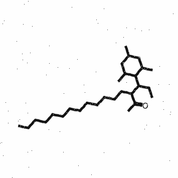 CCCCCCCCCCCCCC(C(C)=O)C(CC)C1C(C)CC(C)CC1C